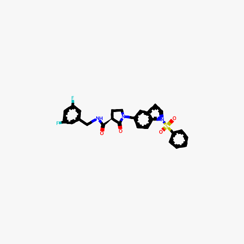 O=C(NCc1cc(F)cc(F)c1)[C@H]1CCN(c2ccc3c(ccn3S(=O)(=O)c3ccccc3)c2)C1=O